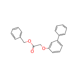 O=C(COc1cccc(-c2ccccc2)c1)OCc1ccccc1